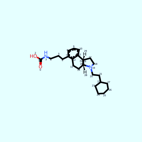 O=C(O)NCCCc1cccc2c1CC[C@@H]1[C@H]2CCN1CCC1CCCCC1